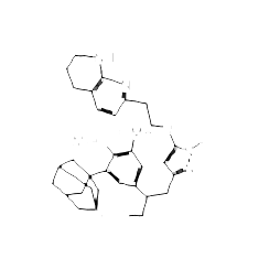 COc1cc(C(CC(=O)O)Cc2cc(OCCc3ccc4c(n3)NCCC4)n(C)n2)cc(C23CC4CC(CC(C4)C2)C3)c1OC